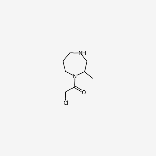 CC1CNCCCN1C(=O)CCl